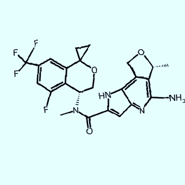 C[C@H]1OCc2c1c(N)nc1cc(C(=O)N(C)[C@H]3COC4(CC4)c4cc(C(F)(F)F)cc(F)c43)[nH]c21